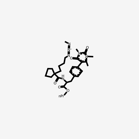 CCCOC(=O)C(Cc1ccc(-c2c(C)n(C)c(=O)n(C)c2=O)cc1)NC(=O)C1(CCCCN=[N+]=NC)CCCC1